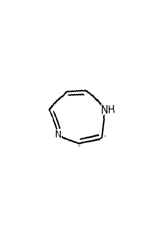 [C]1=[C]NC=CC=N1